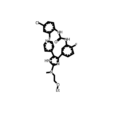 CCOCCN(C)c1nc(-c2ccc(F)c(NC(=O)Nc3ccc(Cl)cc3F)c2)c(-c2ccncc2)[nH]1